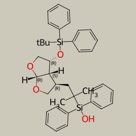 CC(C)(C[C@H]1CO[C@@H]2OC[C@H](O[Si](c3ccccc3)(c3ccccc3)C(C)(C)C)[C@H]12)[Si](O)(c1ccccc1)c1ccccc1